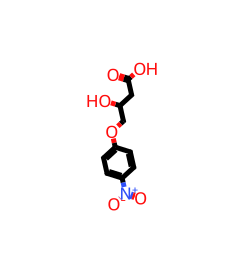 O=C(O)CC(O)COc1ccc([N+](=O)[O-])cc1